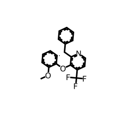 COc1ccc[c]c1Oc1c(C(F)(F)F)ccnc1Cc1ccccc1